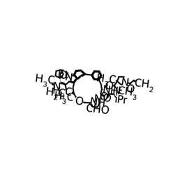 C=CC(=O)N1CCC(C)(C(=O)N(C)[C@H](C(=O)N[C@H]2Cc3cccc(c3)-c3ccc4c(c3)c(c(/C(C=C)=C(/N=C\C)[C@@H]3CCCO3)n4CC)CC(C)(C)COC[C@@]3(C=O)CCCN(N3)C2=O)C(C)C)C1